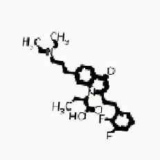 CCC(C(=O)O)n1c(CCc2cccc(F)c2F)cc(=O)c2ccc(CCCN(CC)CC)cc21